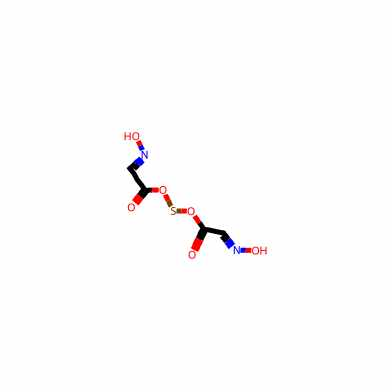 O=C(C=NO)OSOC(=O)C=NO